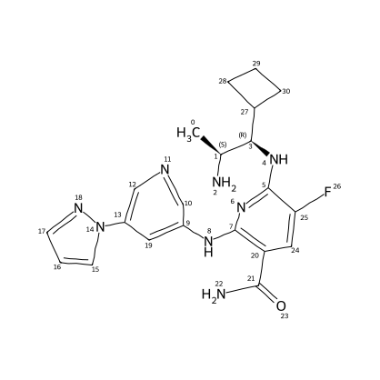 C[C@H](N)[C@H](Nc1nc(Nc2cncc(-n3cccn3)c2)c(C(N)=O)cc1F)C1CCC1